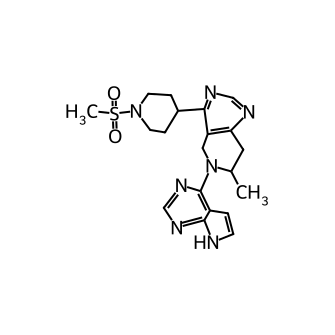 CC1Cc2ncnc(C3CCN(S(C)(=O)=O)CC3)c2CN1c1ncnc2[nH]ccc12